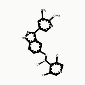 COc1ncc(-c2n[nH]c3ccc(O[C@H](N)c4c(Cl)cncc4Cl)cc23)cc1N